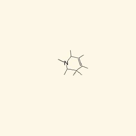 CC1=C(C)C(C)(C)C(C)N(C)C1C